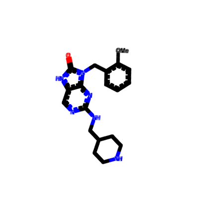 COc1ccccc1Cn1c(=O)[nH]c2cnc(NCC3CCNCC3)nc21